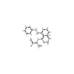 CC(=O)N(O)CC1=c2c(OCc3ccccc3)cccc2=COC1